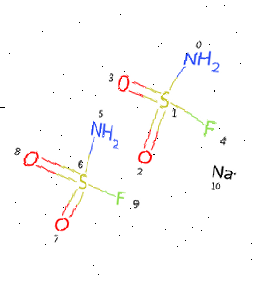 NS(=O)(=O)F.NS(=O)(=O)F.[Na]